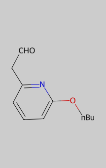 CCCCOc1cccc(CC=O)n1